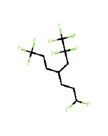 FC(F)CCC(CCC(F)(F)F)CC(F)(F)C(F)(F)F